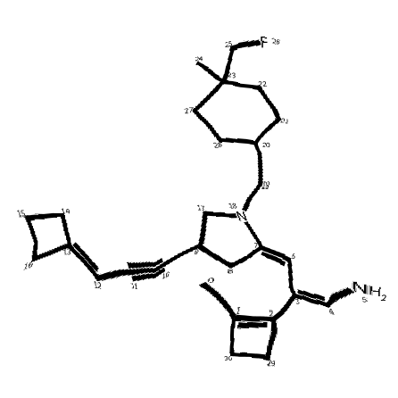 CC1=C(C(=C/N)/C=C2\CC(C#CC=C3CCC3)CN2CC2CCC(C)(CF)CC2)CC1